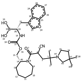 CC(C)(CC(C#N)C(=O)N1CCCCC[C@@H]1COC(=O)N[C@@H](Cc1coc2ccccc12)B(O)O)N1CCC(F)(F)C1